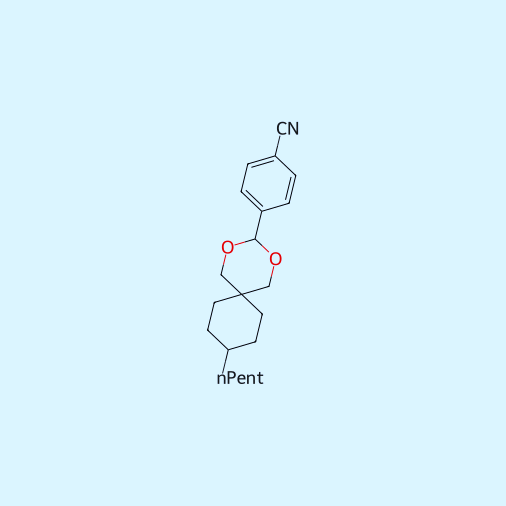 CCCCCC1CCC2(CC1)COC(c1ccc(C#N)cc1)OC2